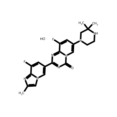 Cc1cn2cc(-c3nc(=O)n4cc(N5CCNC(C)(C)C5)cc(F)c4n3)cc(F)c2n1.Cl